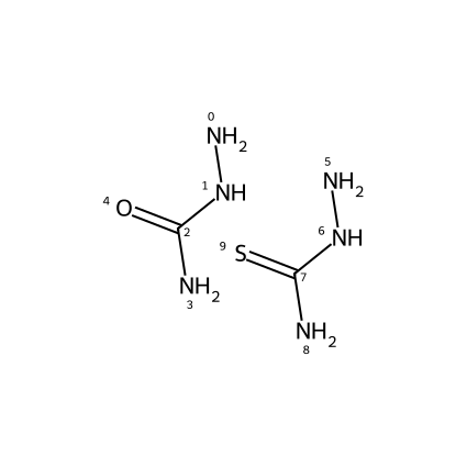 NNC(N)=O.NNC(N)=S